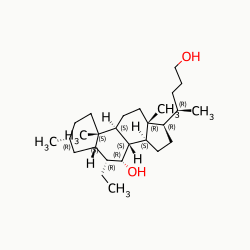 CC[C@H]1[C@@H](O)[C@@H]2[C@H](CC[C@]3(C)[C@@H]([C@H](C)CCCO)CC[C@@H]23)[C@@]2(C)CC[C@@H](C)C[C@@H]12